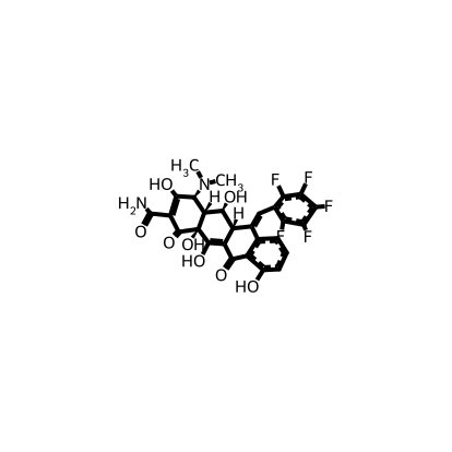 CN(C)[C@@H]1C(O)=C(C(N)=O)C(=O)[C@@]2(O)C(O)=C3C(=O)c4c(O)cccc4/C(=C\c4c(F)c(F)c(F)c(F)c4F)[C@H]3[C@H](O)[C@@H]12